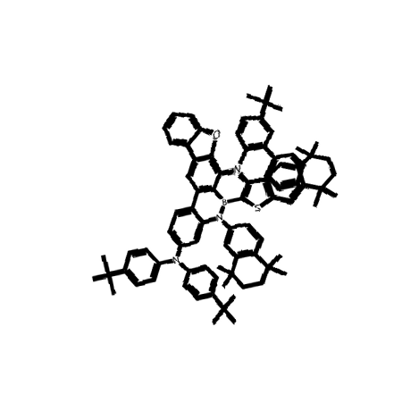 CC(C)(C)c1ccc(N(c2ccc(C(C)(C)C)cc2)c2ccc3c(c2)N(c2ccc4c(c2)C(C)(C)CCC4(C)C)B2c4sc5cc6c(cc5c4N(c4ccc(C(C)(C)C)cc4-c4ccccc4)c4c2c-3cc2c4oc3ccccc32)C(C)(C)CCC6(C)C)cc1